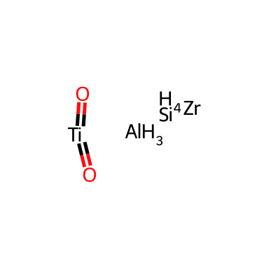 [AlH3].[O]=[Ti]=[O].[SiH4].[Zr]